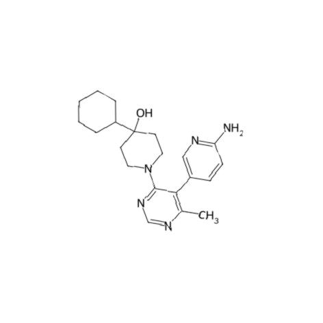 Cc1ncnc(N2CCC(O)(C3CCCCC3)CC2)c1-c1ccc(N)nc1